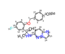 COc1ccc(COc2ccc(F)cc2C(C)(C)Nc2ccc3nccn3n2)cc1